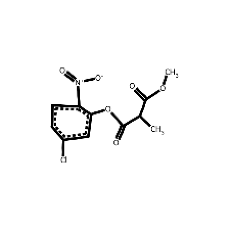 COC(=O)C(C)C(=O)Oc1cc(Cl)ccc1[N+](=O)[O-]